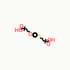 CC(C)(CCCOc1ccc(SCCCC(C)(C)C(=O)O)cc1)C(=O)O